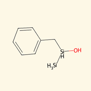 O[SiH]([SiH3])Cc1ccccc1